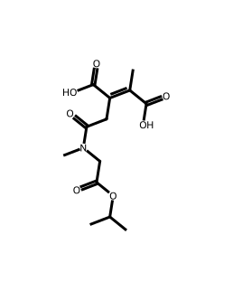 CC(C(=O)O)=C(CC(=O)N(C)CC(=O)OC(C)C)C(=O)O